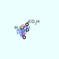 CC1=C(C(=O)Nc2ccc(CC(=O)O)cc2)C(c2ccccc2Cl)N=C(Nc2nc3ccccc3o2)N1